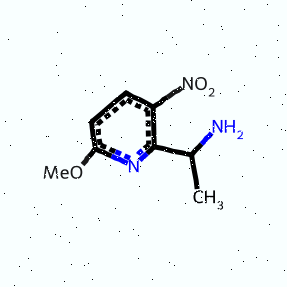 COc1ccc([N+](=O)[O-])c(C(C)N)n1